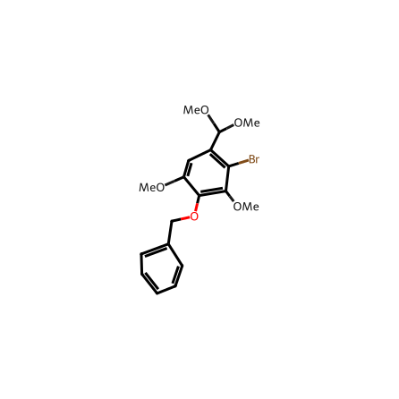 COc1cc(C(OC)OC)c(Br)c(OC)c1OCc1ccccc1